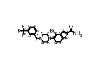 NC(=O)c1cc2c(Br)c(N3CCN(Cc4cccc(C(F)(F)F)c4)CC3)ccc2o1